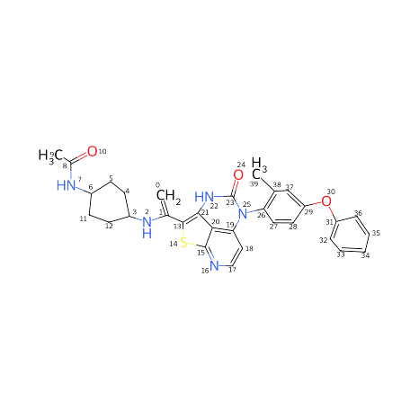 C=C(NC1CCC(NC(C)=O)CC1)c1sc2nccc3c2c1NC(=O)N3c1ccc(Oc2ccccc2)cc1C